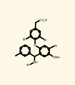 COc1cc(C(NC(C)C)c2cccc(C)c2)c(Oc2c(Br)cc(CC(=O)O)cc2Br)cc1C(C)C